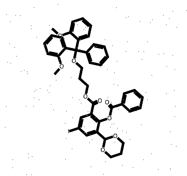 COc1ccccc1C(OCCCOC(=O)c1cc(I)cc(C2OCCCO2)c1OC(=O)c1ccccc1)(c1ccccc1)c1ccccc1OC